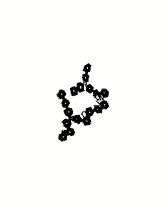 c1ccc(-c2ccc(-c3ccc(N(c4ccc(-c5cccc6c5oc5ccc(-c7ccc8c(c7)sc7c(-n9c%10ccccc%10c%10cc(-c%11ccc(N(c%12ccc(-c%13ccccc%13)cc%12)c%12ccc(-c%13ccccc%13)cc%12)cc%11)ccc%109)cccc78)cc56)cc4)c4cccc(-c5cccc6c5oc5ccccc56)c4)cc3)cc2)cc1